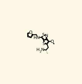 COc1c(C[C@H](C)N)sc2c(NCc3ccco3)snc12